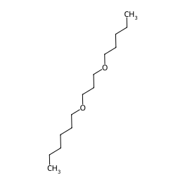 CCCCCCOCCCOCCCCC